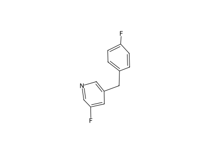 Fc1ccc(Cc2cncc(F)c2)cc1